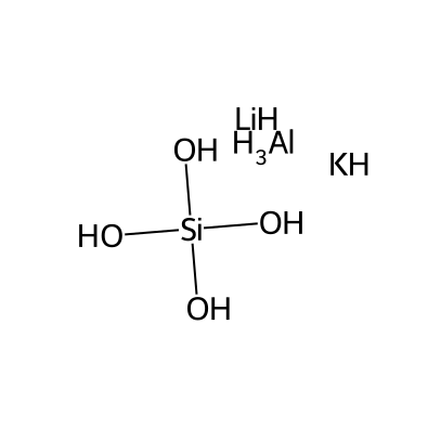 O[Si](O)(O)O.[AlH3].[KH].[LiH]